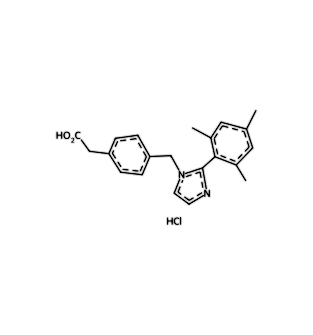 Cc1cc(C)c(-c2nccn2Cc2ccc(CC(=O)O)cc2)c(C)c1.Cl